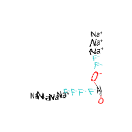 [F-].[F-].[F-].[F-].[F-].[F-].[Na+].[Na+].[Na+].[Na+].[Na+].[Na+].[Na+].[O]=[Al][O-]